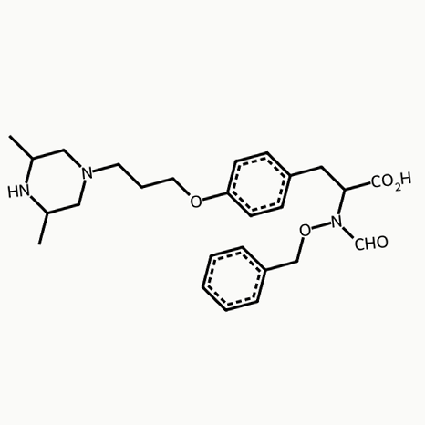 CC1CN(CCCOc2ccc(CC(C(=O)O)N(C=O)OCc3ccccc3)cc2)CC(C)N1